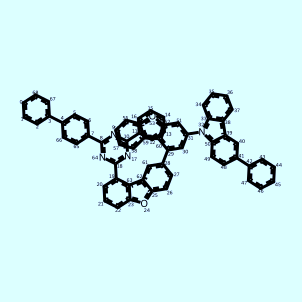 c1ccc(-c2ccc(-c3nc(-c4ccccc4)nc(-c4cccc5oc6ccc(-c7cc(-n8c9ccccc9c9cc(-c%10ccccc%10)ccc98)cc8oc9ccccc9c78)cc6c45)n3)cc2)cc1